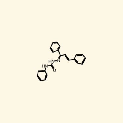 O=C(NN=C(C=Cc1ccccc1)c1ccccc1)Nc1ccccc1